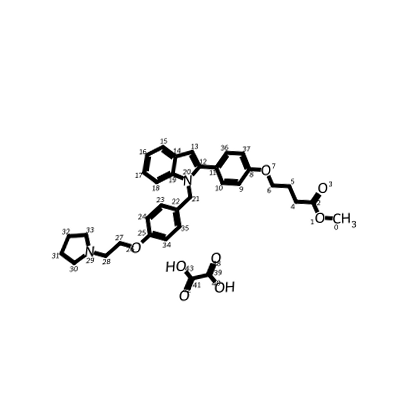 COC(=O)CCCOc1ccc(-c2cc3ccccc3n2Cc2ccc(OCCN3CCCC3)cc2)cc1.O=C(O)C(=O)O